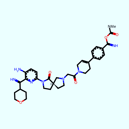 CNC(=O)OC(=N)c1ccc(C2=CCN(C(=O)CN3CC[C@]4(CCN(c5ccc(N)c(C(=N)C6CCOCC6)n5)C4=O)C3)CC2)cc1